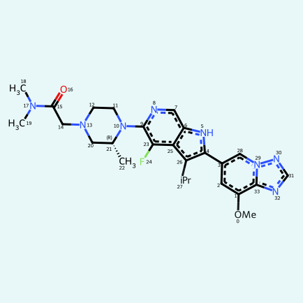 COc1cc(-c2[nH]c3cnc(N4CCN(CC(=O)N(C)C)C[C@H]4C)c(F)c3c2C(C)C)cn2ncnc12